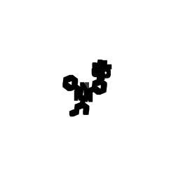 C=C/C=C(\C=C)c1nc(-c2ccccc2)nc(-c2cccc(B3OC(C)(C)C(C)(C)O3)c2)n1